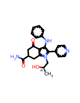 C[C@@H](O)Cn1c2c(c(Nc3ccccc3)c1-c1ccncc1)C(=O)CC(C(N)=O)C2